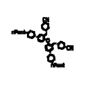 CCCCC[C@H]1CC[C@H](c2ccc(Oc3ccc([C@H]4CC[C@H](CCCCC)CC4)cc3C[C@H]3CC[C@H](C#N)CC3)c(C[C@H]3CC[C@H](C#N)CC3)c2)CC1